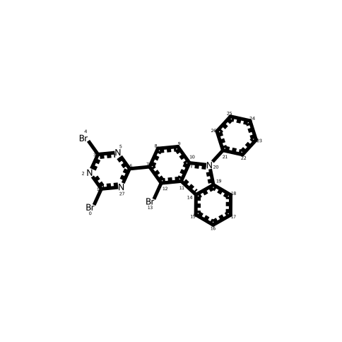 Brc1nc(Br)nc(-c2ccc3c(c2Br)c2ccccc2n3-c2ccccc2)n1